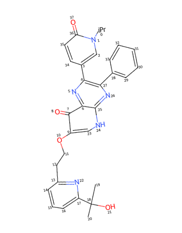 CC(C)n1cc(-c2nc3c(=O)c(OCCc4cccc(C(C)(C)O)n4)c[nH]c3nc2-c2ccccc2)ccc1=O